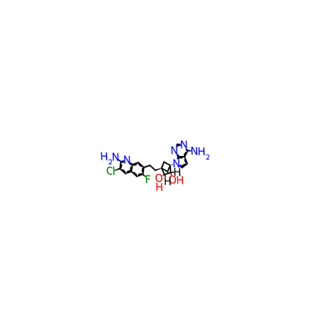 Nc1nc2cc(CC[C@]34C[C@@](n5ccc6c(N)ncnc65)(C3)[C@H](O)[C@@H]4O)c(F)cc2cc1Cl